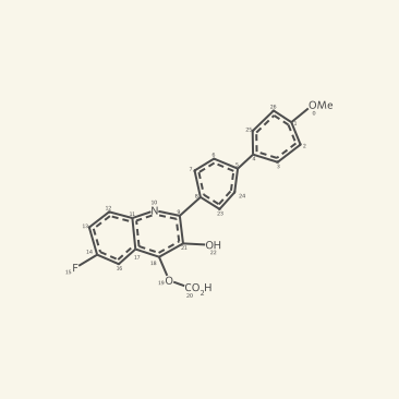 COc1ccc(-c2ccc(-c3nc4ccc(F)cc4c(OC(=O)O)c3O)cc2)cc1